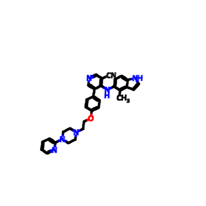 Cc1c(Nc2c(C#N)cncc2-c2ccc(OCCN3CCN(c4ccccn4)CC3)cc2)ccc2[nH]ccc12